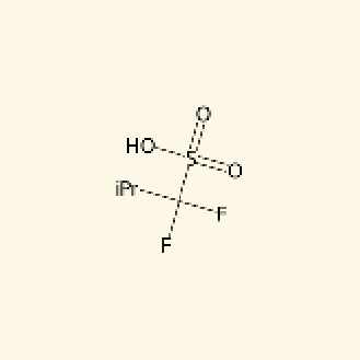 CC(C)C(F)(F)S(=O)(=O)O